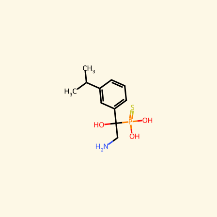 CC(C)c1cccc(C(O)(CN)P(O)(O)=S)c1